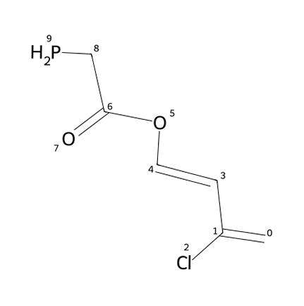 C=C(Cl)C=COC(=O)CP